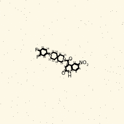 O=C(c1cc(=O)[nH]c2ccc([N+](=O)[O-])cc12)N1CCC2(CC1)CCN(c1ccc(F)c(F)c1)CC2